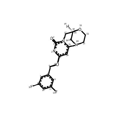 O=c1nc(OCc2cc(F)cc(F)c2)cc2n1C[C@@H]1CN2CCO1